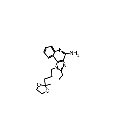 CCc1nc2c(N)nc3ccccc3c2n1CCCC1(C)OCCO1